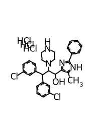 Cc1[nH]c(-c2ccccc2)nc1C(O)C(C(c1cccc(Cl)c1)c1cccc(Cl)c1)N1CCNCC1.Cl.Cl.Cl